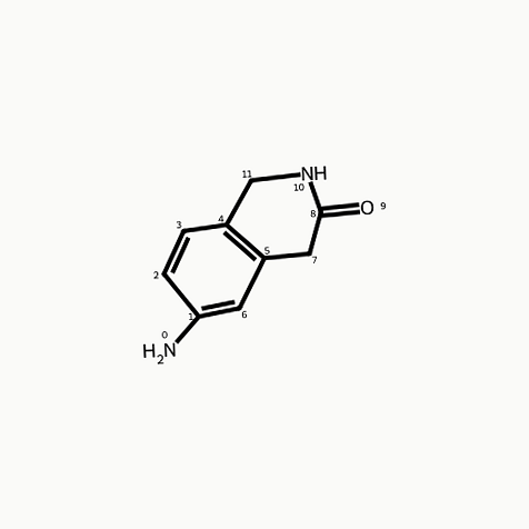 Nc1ccc2c(c1)CC(=O)NC2